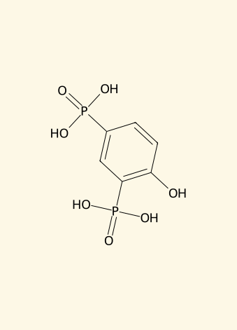 O=P(O)(O)c1ccc(O)c(P(=O)(O)O)c1